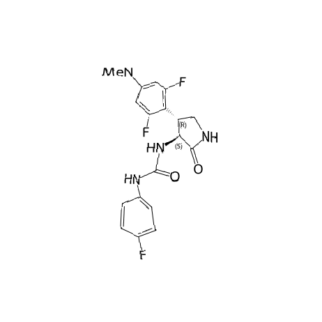 CNc1cc(F)c([C@@H]2CNC(=O)[C@H]2NC(=O)Nc2ccc(F)cc2)c(F)c1